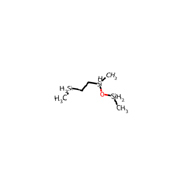 C[SiH2]CC[SiH](C)O[SiH2]C